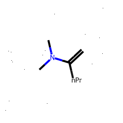 C=C(CCC)N(C)C